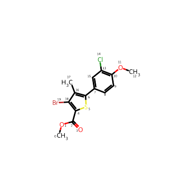 COC(=O)c1sc(-c2ccc(OC)c(Cl)c2)c(C)c1Br